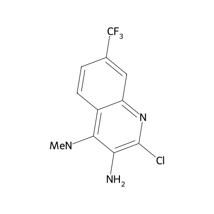 CNc1c(N)c(Cl)nc2cc(C(F)(F)F)ccc12